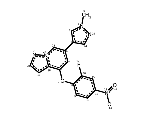 Cn1cc(-c2cc(Oc3ccc([N+](=O)[O-])cc3F)c3ccnn3c2)cn1